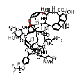 CN[C@@H](CC(C)C)C(=O)N[C@H]1C(=O)N[C@@H](CC(N)=O)C(=O)NC2C(=O)N[C@@H]3C(=O)N[C@@H](C(=O)N[C@@H](C(=O)O)c4cc(O)cc(O)c4-c4cc3ccc4O)[C@H](O)c3ccc(c(Cl)c3)Oc3cc2cc(c3OC2O[C@@H](CO)[C@@H](O)[C@@H](O)[C@H]2O[C@H]2CC(C)(NCCn3ccc(NC(=O)c4ccc(OC(F)(F)C(F)F)cc4)nc3=O)[C@@H](O)[C@@H](C)O2)Oc2ccc(cc2Cl)[C@H]1O